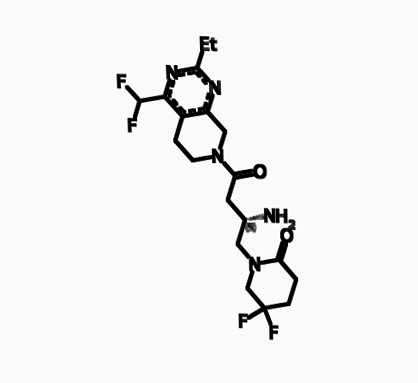 CCc1nc2c(c(C(F)F)n1)CCN(C(=O)C[C@H](N)CN1CC(F)(F)CCC1=O)C2